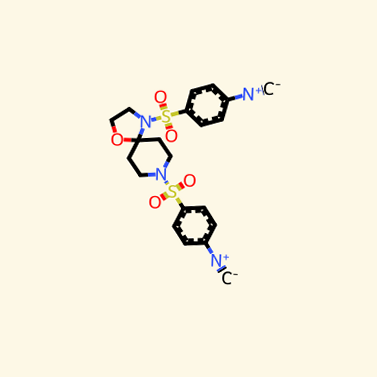 [C-]#[N+]c1ccc(S(=O)(=O)N2CCC3(CC2)OCCN3S(=O)(=O)c2ccc([N+]#[C-])cc2)cc1